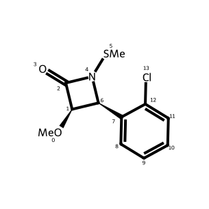 CO[C@H]1C(=O)N(SC)[C@H]1c1ccccc1Cl